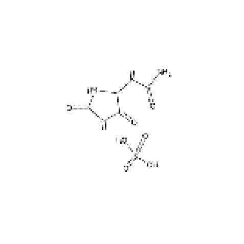 NC(=O)NC1NC(=O)NC1=O.O=S(=O)(O)O